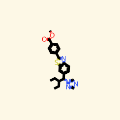 CCC(CC)C(c1ccc2nc(-c3ccc(C(=O)OC)cc3)sc2c1)n1cncn1